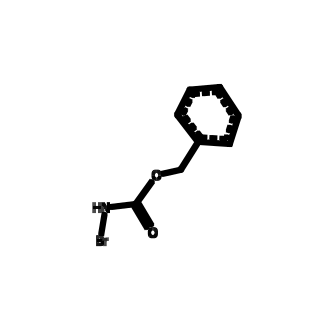 O=C(NBr)OCc1ccccc1